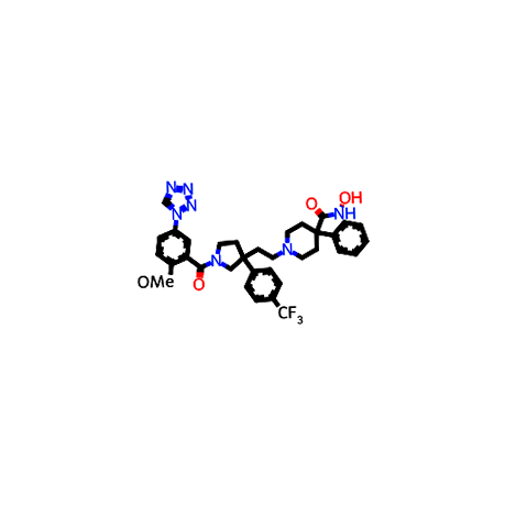 COc1ccc(-n2cnnn2)cc1C(=O)N1CCC(CCN2CCC(C(=O)NO)(c3ccccc3)CC2)(c2ccc(C(F)(F)F)cc2)C1